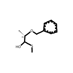 CSC(O)[C@H](C)OCc1ccccc1